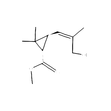 COC(=O)[C@H]1[C@H](C=C(C)CO)C1(C)C